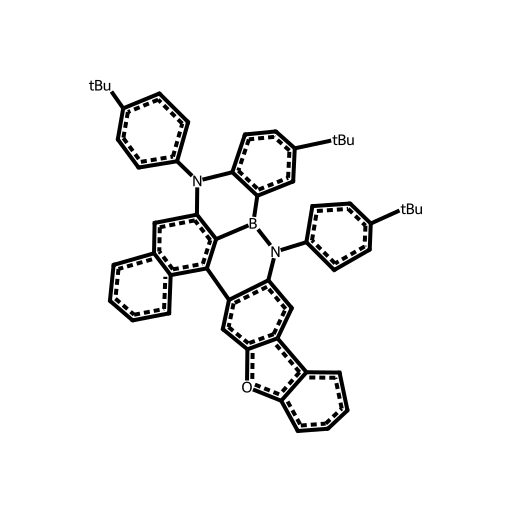 CC(C)(C)c1ccc(N2B3c4cc(C(C)(C)C)ccc4N(c4ccc(C(C)(C)C)cc4)c4cc5ccccc5c(c43)-c3cc4oc5ccccc5c4cc32)cc1